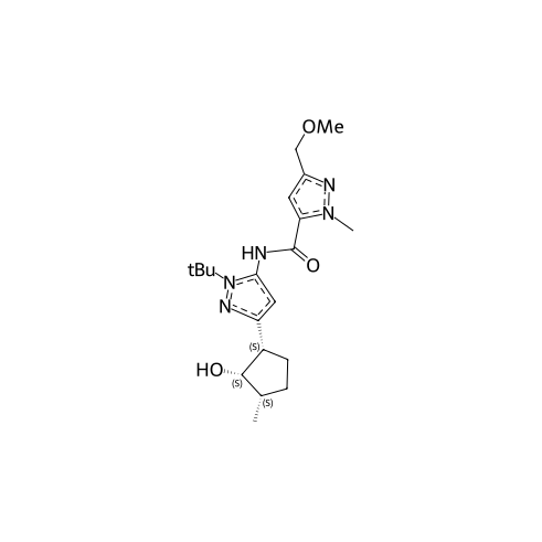 COCc1cc(C(=O)Nc2cc([C@@H]3CC[C@H](C)[C@@H]3O)nn2C(C)(C)C)n(C)n1